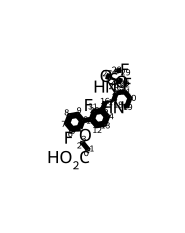 O=C(O)CCOc1c(F)cccc1-c1cccc(C[C@@H]2NCCC(F)C2NS(=O)(=O)CF)c1F